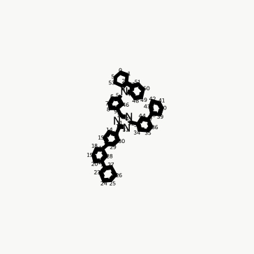 C1=Cc2c(n(-c3cccc(-c4nc(-c5ccc(-c6cccc(-c7ccccc7)c6)cc5)nc(-c5cccc(-c6ccccc6)c5)n4)c3)c3ccccc23)CC1